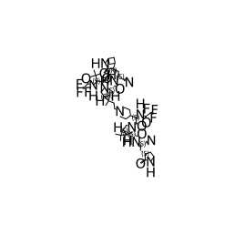 CC(C)(C)[C@H](NC(=O)C(F)(F)F)C(=O)N1C[C@H]2[C@@H]([C@H]1C(=O)N[C@H](C#N)C[C@H]1C(=O)NC3CC1C3)C2(C)CCN1CCC([C@H](NC(=O)C(F)(F)F)C(=O)N2C[C@H]3[C@@H]([C@H]2C(=O)N[C@H](C#N)C[C@@H]2CCNC2=O)C3(C)C)CC1